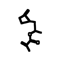 C=C(C)C(=O)OC(C)CC1CCC1=C